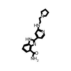 NC(=O)c1cccc2[nH]c(-c3ccnc(NCCN4CCCC4)c3)nc12